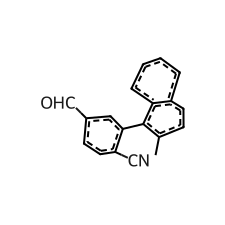 Cc1ccc2ccccc2c1-c1cc(C=O)ccc1C#N